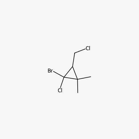 CC1(C)C(CCl)C1(Cl)Br